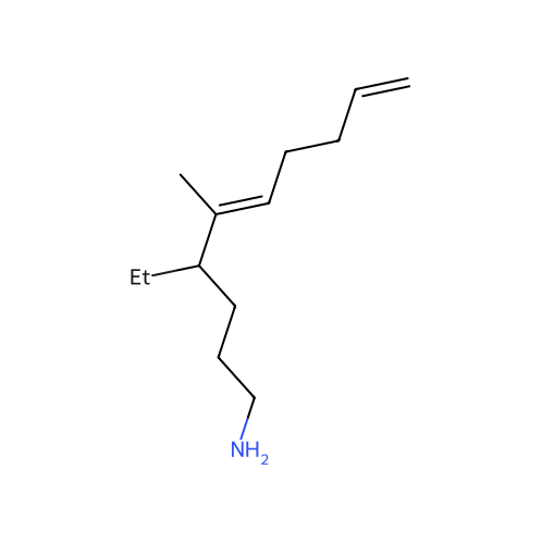 C=CCC/C=C(\C)C(CC)CCCN